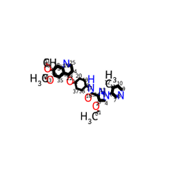 CCOc1cn(-c2cnccc2C)nc1C(=O)NC1CCC(Oc2ccnc3cc(OC)c(OC)cc23)CC1